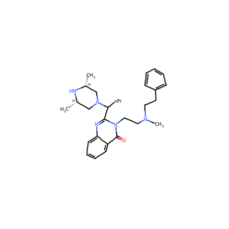 CCCC(c1nc2ccccc2c(=O)n1CCN(C)CCc1ccccc1)N1C[C@@H](C)N[C@@H](C)C1